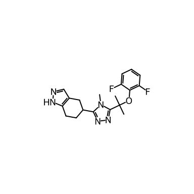 Cn1c(C2CCc3[nH]ncc3C2)nnc1C(C)(C)Oc1c(F)cccc1F